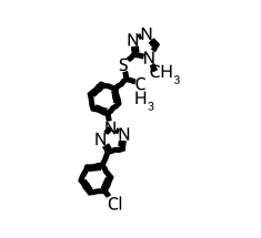 CC(Sc1nncn1C)c1cccc(-n2ncc(-c3cccc(Cl)c3)n2)c1